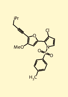 COc1cc(-c2c(Cl)ccn2S(=O)(=O)c2ccc(C)cc2)oc1C#CCC(C)C